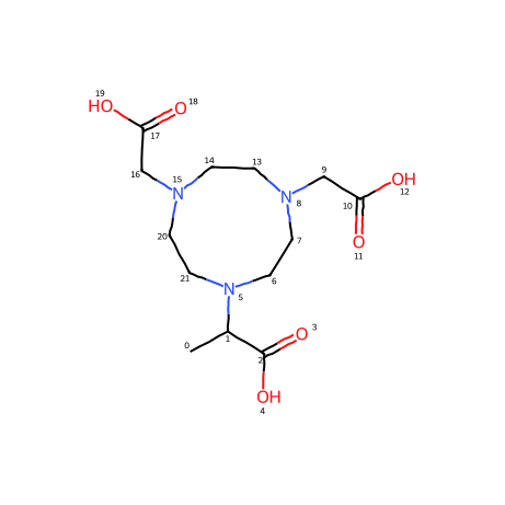 CC(C(=O)O)N1CCN(CC(=O)O)CCN(CC(=O)O)CC1